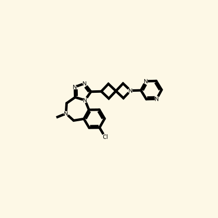 CN1Cc2cc(Cl)ccc2-n2c(nnc2C2CC3(C2)CN(c2cnccn2)C3)C1